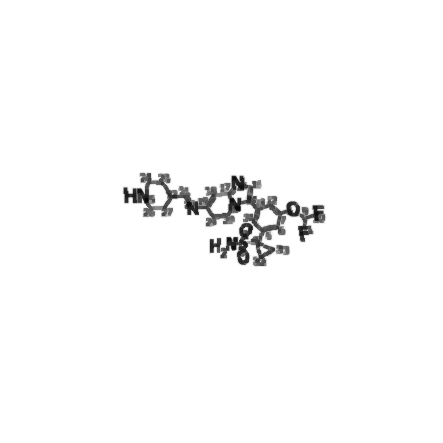 NS(=O)(=O)C1(c2cc(OC(F)F)cc(-c3cnc4cc(N=CC5CCNCC5)ccn34)c2)CC1